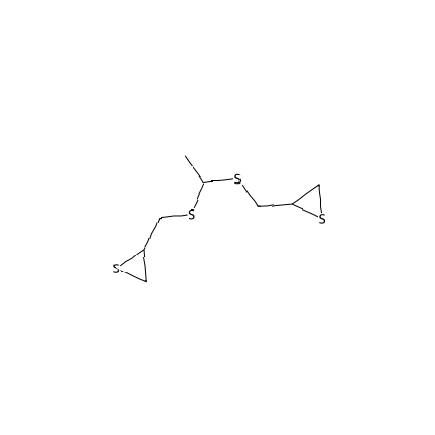 CC(SCC1CS1)SCC1CS1